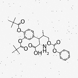 CC(COC(=O)Oc1ccccc1)C(c1ccc(OC(=O)C(C)(C)C)c(OC(=O)C(C)(C)C)c1)[C@H](N)C(=O)O